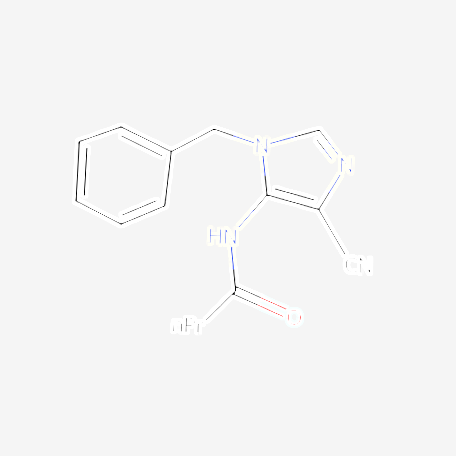 CCCC(=O)Nc1c(C#N)ncn1Cc1ccccc1